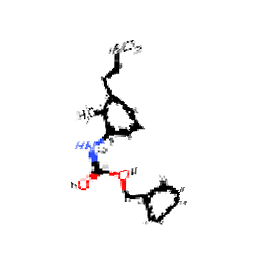 Cc1c(C=C[N+](=O)[O-])cccc1NC(=O)OCc1ccccc1